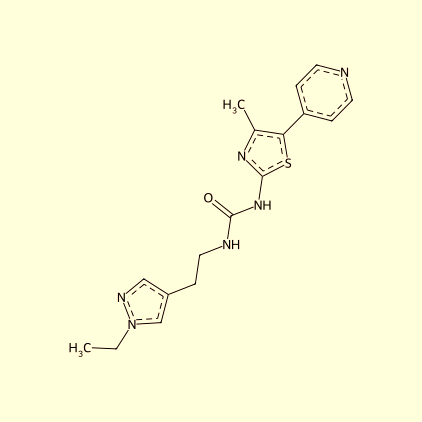 CCn1cc(CCNC(=O)Nc2nc(C)c(-c3ccncc3)s2)cn1